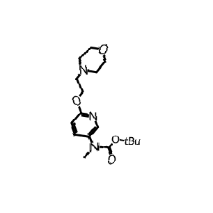 CN(C(=O)OC(C)(C)C)c1ccc(OCCN2CCOCC2)nc1